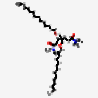 CCCCCCCCCCCCCCOCC(CCC(=O)N(C)C)(CCC(=O)N(C)C)COCCCCCCCCCCCCCC